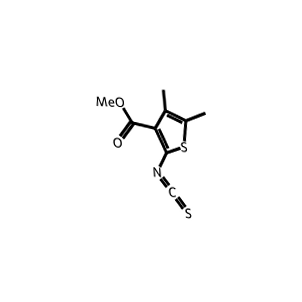 COC(=O)c1c(N=C=S)sc(C)c1C